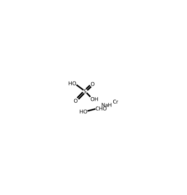 O=CO.O=S(=O)(O)O.[Cr].[NaH]